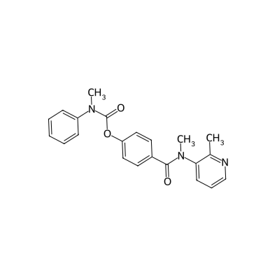 Cc1ncccc1N(C)C(=O)c1ccc(OC(=O)N(C)c2ccccc2)cc1